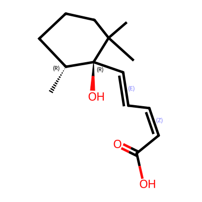 C[C@@H]1CCCC(C)(C)[C@]1(O)/C=C/C=C\C(=O)O